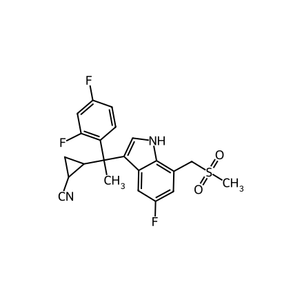 CC(c1ccc(F)cc1F)(c1c[nH]c2c(CS(C)(=O)=O)cc(F)cc12)C1CC1C#N